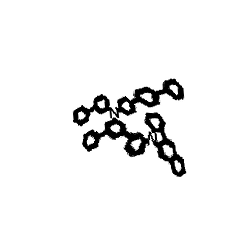 c1ccc(-c2ccc(-c3ccc(N(c4cccc(-c5ccccc5)c4)c4cc(-c5ccccc5)cc(-c5cccc(-n6c7ccccc7c7cc8ccccc8cc76)c5)c4)cc3)cc2)cc1